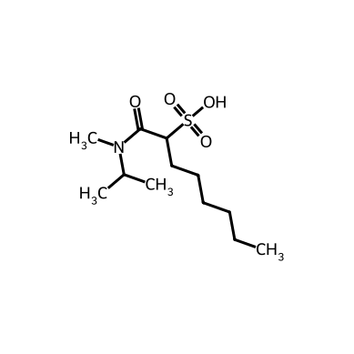 CCCCCCC(C(=O)N(C)C(C)C)S(=O)(=O)O